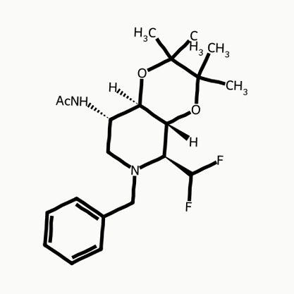 CC(=O)N[C@H]1CN(Cc2ccccc2)[C@H](C(F)F)[C@H]2OC(C)(C)C(C)(C)O[C@@H]21